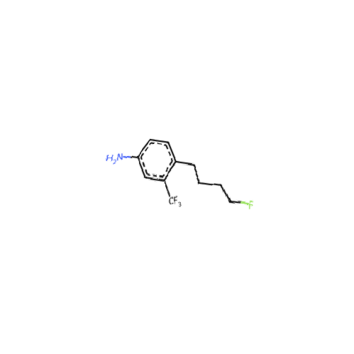 Nc1ccc(CCCCF)c(C(F)(F)F)c1